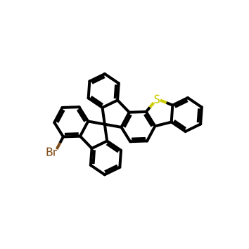 Brc1cccc2c1-c1ccccc1C21c2ccccc2-c2c1ccc1c2sc2ccccc21